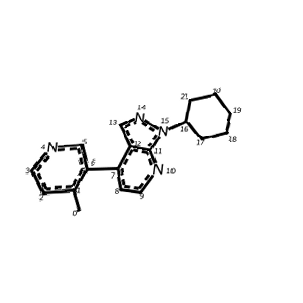 Cc1ccncc1-c1ccnc2c1cnn2C1CCCCC1